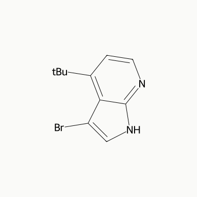 CC(C)(C)c1ccnc2[nH]cc(Br)c12